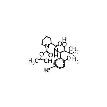 CC(C)OC(=O)N1CCCCC1C(=O)NC1c2cc(C#N)ccc2OC(C)(C)C1O